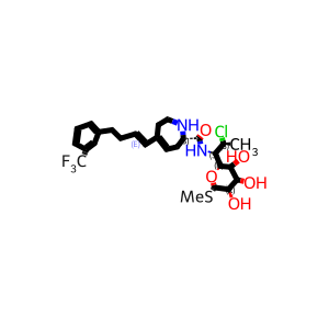 CSC1O[C@H]([C@H](NC(=O)[C@@H]2CC=C(/C=C/CCc3cccc(C(F)(F)F)c3)CCN2)[C@H](C)Cl)C(O)C(O)[C@H]1O